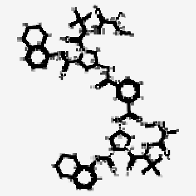 CN[C@@H](C)C(=O)N[C@H](C(=O)N1C[C@@H](NC(=O)c2cccc(C(=O)N[C@H]3C[C@@H](C(=O)Nc4cccc5c4CCCC5)N(C(=O)[C@@H](NC(=O)[C@H](C)NC)C(C)(C)C)C3)c2)C[C@H]1C(=O)Nc1cccc2c1CCCC2)C(C)(C)C